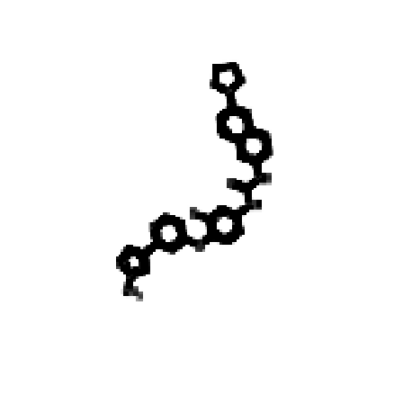 Cn1cc(-c2cc(Oc3ccc(NC(=O)Nc4ccc5nc(N6CCCC6)ccc5c4)cc3F)ccn2)cn1